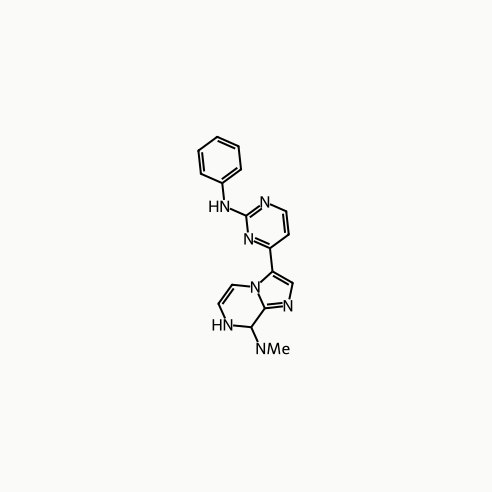 CNC1NC=Cn2c(-c3ccnc(Nc4ccccc4)n3)cnc21